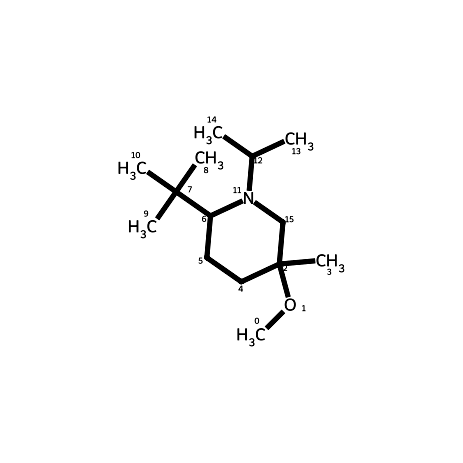 COC1(C)CCC(C(C)(C)C)N(C(C)C)C1